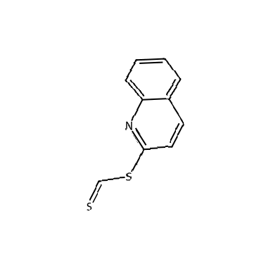 S=CSc1ccc2ccccc2n1